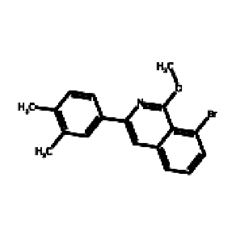 COc1nc(-c2ccc(C)c(C)c2)cc2cccc(Br)c12